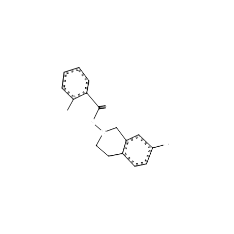 CCc1ccccc1C(=O)NN1CCc2ccc(O)cc2C1